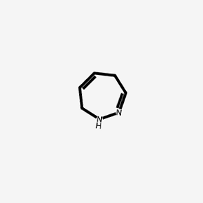 C1=CCNN=CC1